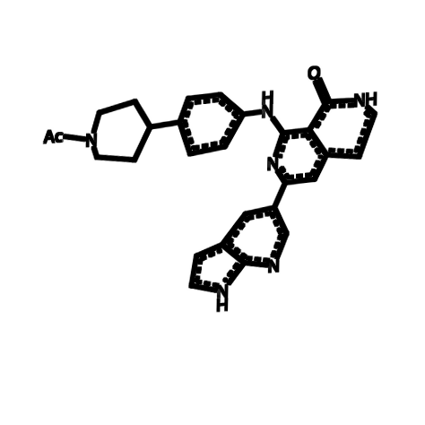 CC(=O)N1CCC(c2ccc(Nc3nc(-c4cnc5[nH]ccc5c4)cc4cc[nH]c(=O)c34)cc2)CC1